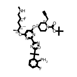 C#CC[C@@H]1C[C@@H](Oc2cc(O[C@@H](C)[C@@H](C)C[C@@H](F)CNC)nc(-c3noc(C(C)(C)c4cccc(F)c4P)n3)n2)CCN1C(=O)OC(C)(C)C